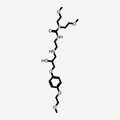 COCCOc1ccc(OCC(O)CNCCNC(=O)N(CCOC)CCOC)cc1